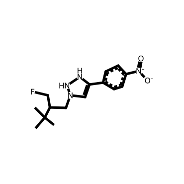 CC(C)(C)C(CF)CN1C=C(c2ccc([N+](=O)[O-])cc2)NN1